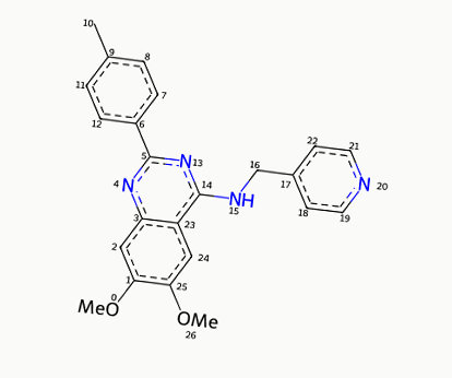 COc1cc2nc(-c3ccc(C)cc3)nc(NCc3ccncc3)c2cc1OC